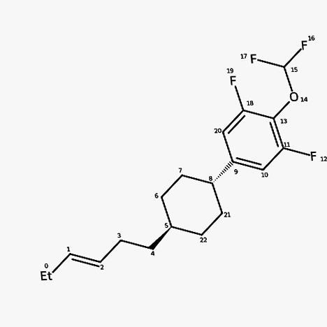 CC/C=C/CC[C@H]1CC[C@H](c2cc(F)c(OC(F)F)c(F)c2)CC1